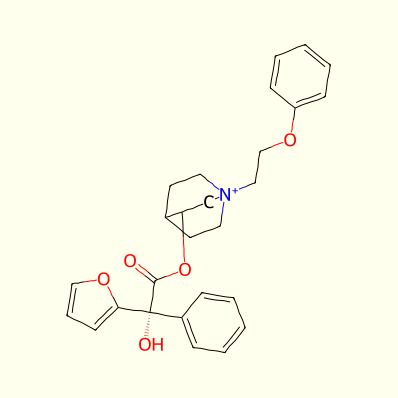 O=C(OC1C[N+]2(CCOc3ccccc3)CCC1CC2)[C@@](O)(c1ccccc1)c1ccco1